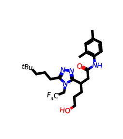 Cc1ccc(NC(=O)CC(CCCO)c2nnc(CCCC(C)(C)C)n2CC(F)(F)F)c(C)c1